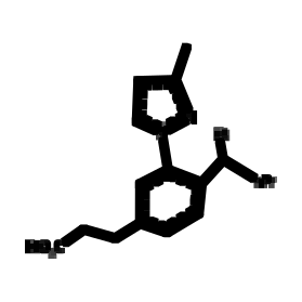 CCCC(CC)c1ccc(CCC(=O)OCC)cc1-n1ccc(C)n1